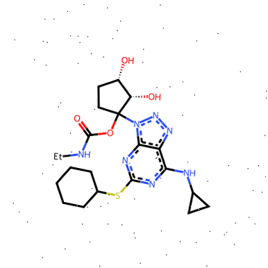 CCNC(=O)OC1(n2nnc3c(NC4CC4)nc(SC4CCCCC4)nc32)CC[C@H](O)[C@@H]1O